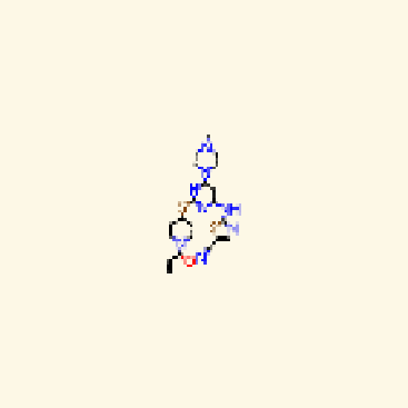 C=CC(=O)N1CCC(Sc2nc(Nc3ncc(C#N)s3)cc(N3CCN(C)CC3)n2)CC1